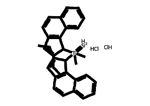 CCC1=Cc2ccc3ccccc3c2[CH]1[Ti]([CH3])([CH3])(=[SiH2])[CH]1C(CC)=Cc2ccc3ccccc3c21.Cl.Cl